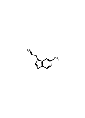 C=CCn1cnc2ccc(C)cc21